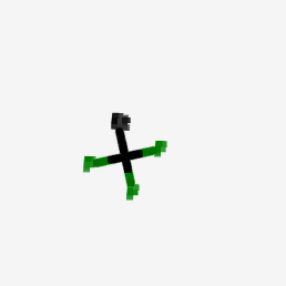 CCC(F)(F)F